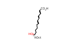 CCCCCCCC[C@H](O)CCCCC=CC=CC=CC(=O)O